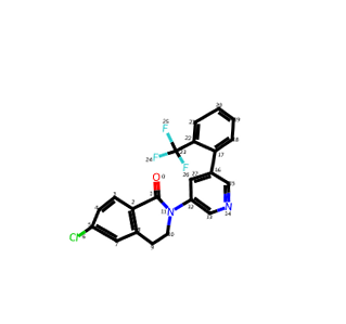 O=C1c2ccc(Cl)cc2CCN1c1cncc(-c2ccccc2C(F)(F)F)c1